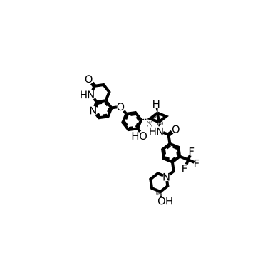 O=C1CCc2c(Oc3ccc(O)c([C@@H]4[C@@H]5C[C@@]45NC(=O)c4ccc(CN5CCC[C@@H](O)C5)c(C(F)(F)F)c4)c3)ccnc2N1